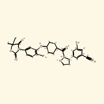 CC1(C)OC(=O)N(c2ccc(F)c(OC3CCC(C(=O)N4OCC[C@H]4c4cc(F)cc(C#N)c4)CC3)c2)C1=O